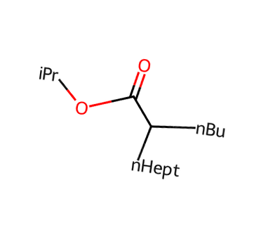 CCCCCCCC(CCCC)C(=O)OC(C)C